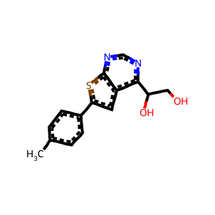 Cc1ccc(-c2cc3c(C(O)CO)ncnc3s2)cc1